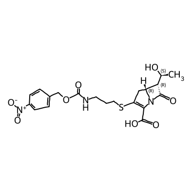 C[C@H](O)[C@@H]1C(=O)N2C(C(=O)O)=C(SCCCNC(=O)OCc3ccc([N+](=O)[O-])cc3)C[C@H]12